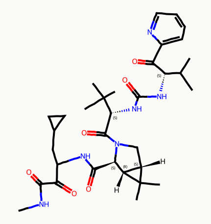 CNC(=O)C(=O)C(CC1CC1)NC(=O)[C@@H]1[C@@H]2[C@H](CN1C(=O)[C@@H](NC(=O)N[C@H](C(=O)c1ccccn1)C(C)C)C(C)(C)C)C2(C)C